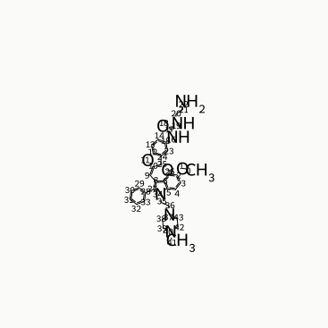 COc1ccc2c(c1)c(C=C1Oc3ccc(NC(=O)NCCN)cc3C1=O)c(-c1ccccc1)n2CCN1CCN(C)CC1